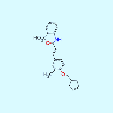 Cc1cc(/C=C/C(=O)Nc2ccccc2C(=O)O)ccc1OCC1CC=CC1